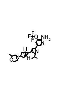 CC1CN(C2C[C@@H]3C(c4cc(-c5cnc(N)c(OC(F)(F)F)c5)nn4C(C)C)[C@@H]3C2)CCO1